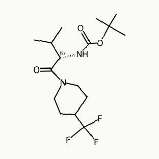 CC(C)[C@H](NC(=O)OC(C)(C)C)C(=O)N1CCC(C(F)(F)F)CC1